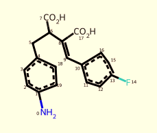 Nc1ccc(CC(C(=O)O)C(=Cc2ccc(F)cc2)C(=O)O)cc1